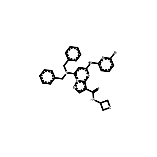 O=C(NC1COC1)c1cnn2c(N(Cc3ccccc3)Cc3ccccc3)cc(Nc3cccc(Br)n3)nc12